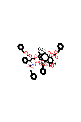 CC(=O)OC1C(=O)[C@@]2(C)C([C@H](OC(=O)c3ccccc3)C3(O)C[C@H](OC(=O)[C@H](OCOCc4ccccc4)[C@@H](NC(=O)OCc4ccccc4)c4ccccc4)C(C)=C1C3(C)C)[C@]1(OC(C)=O)CO[C@@H]1C[C@@H]2OC(=O)OCc1ccccc1